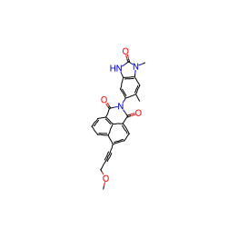 COCC#Cc1ccc2c3c(cccc13)C(=O)N(c1cc3[nH]c(=O)n(C)c3cc1C)C2=O